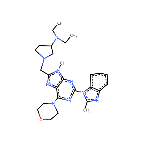 CCN(CC)C1CCN(Cc2nc3c(N4CCOCC4)nc(-n4c(C)nc5ccccc54)nc3n2C)C1